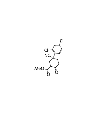 COC(=O)C1CC(C#N)(c2ccc(Cl)cc2Cl)CCC1=O